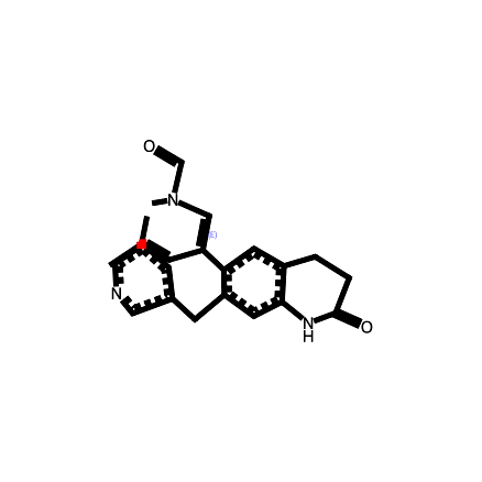 CC(C)=C/C(=C\N(C)C=O)c1cc2c(cc1Cc1cccnc1)NC(=O)CC2